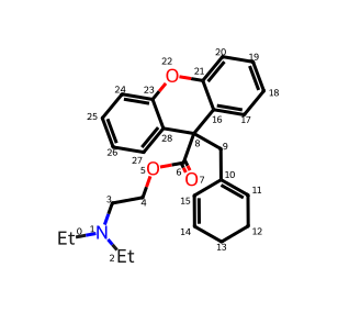 CCN(CC)CCOC(=O)C1(CC2=CCCC=C2)c2ccccc2Oc2ccccc21